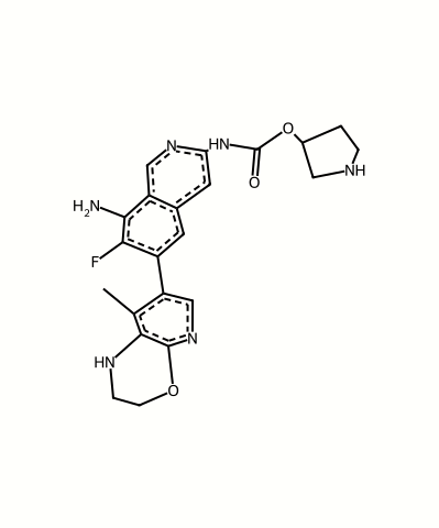 Cc1c(-c2cc3cc(NC(=O)OC4CCNC4)ncc3c(N)c2F)cnc2c1NCCO2